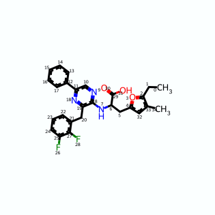 CCc1oc(CC(Nc2ncc(-c3ccccc3)nc2Cc2cccc(F)c2F)C(=O)O)cc1C